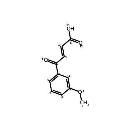 COc1cccc(C(=O)/C=C/C(=O)O)c1